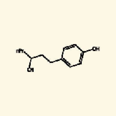 CCCC(C#N)CCc1ccc(O)cc1